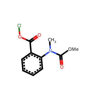 COC(=O)N(C)c1ccccc1C(=O)OCl